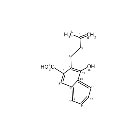 C=C(C)CCc1c(C(=O)O)cc2ccccc2c1O